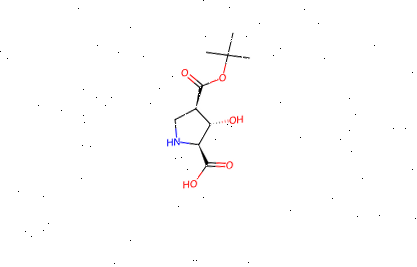 CC(C)(C)OC(=O)[C@@H]1CN[C@H](C(=O)O)[C@H]1O